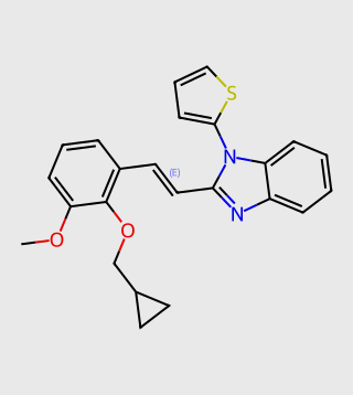 COc1cccc(/C=C/c2nc3ccccc3n2-c2cccs2)c1OCC1CC1